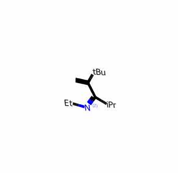 C=C(/C(=N\CC)C(C)C)C(C)(C)C